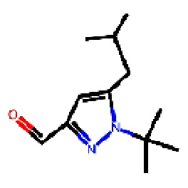 CC(C)Cc1cc(C=O)nn1C(C)(C)C